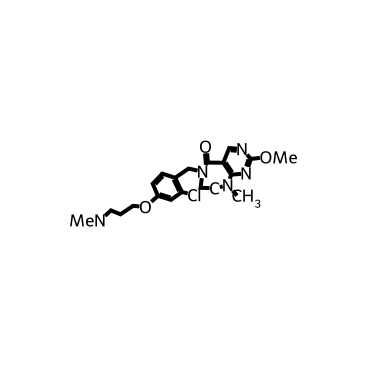 CNCCCOc1ccc(CN2CCN(C)c3nc(OC)ncc3C2=O)c(Cl)c1